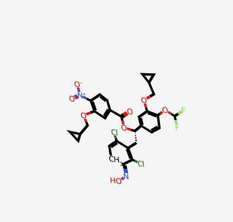 C\C=C(Cl)/C(C[C@H](OC(=O)c1ccc([N+](=O)[O-])c(OCC2CC2)c1)c1ccc(OC(F)F)c(OCC2CC2)c1)=C(Cl)\C=N\O